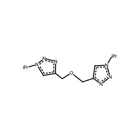 CC(C)n1cc(COCc2cn(C(C)C)nn2)nn1